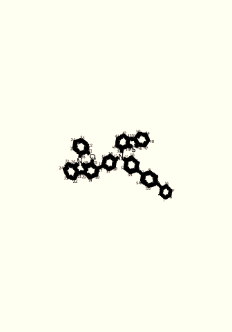 c1ccc(-c2ccc(-c3ccc(N(c4ccc(-c5ccc6c7ccccc7n7c6c5Oc5ccccc5-7)cc4)c4cccc5c4sc4ccccc45)cc3)cc2)cc1